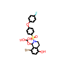 O=C(O)OC1c2c(Br)ccc(O)c2CCN1S(=O)(=O)c1ccc(Oc2ccc(F)cc2)cc1